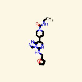 CCNC(=O)N1CC=C(c2cnc(NCc3ccco3)n3cnnc23)CC1